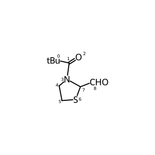 CC(C)(C)C(=O)N1CCSC1C=O